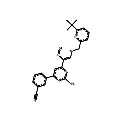 CC(C)(C)c1cccc(CN/C=C(\N=N)c2cc(-c3cccc(C#N)c3)nc(N)n2)n1